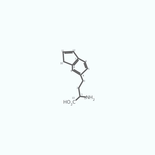 NC(CCc1ccc2c(c1)CC=C2)C(=O)O